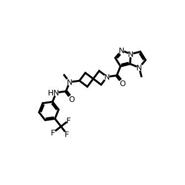 CN(C(=O)Nc1cccc(C(F)(F)F)c1)C1CC2(C1)CN(C(=O)c1cnn3ccn(C)c13)C2